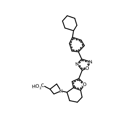 O=C(O)C1CN(C2CCCc3oc(-c4nc(-c5ccc(C6CCCCC6)cc5)no4)cc32)C1